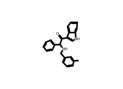 Cc1cccc(CNC(C(=O)c2c[nH]c3ccccc23)c2ccccc2)c1